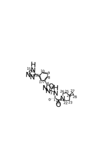 C[C@H](Nc1nnc(-c2cccc(-c3nnc[nH]3)c2)o1)C(=O)N1CCC2(CC1)CC2